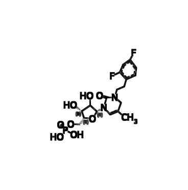 CC1=CN([C@@H]2O[C@H](COP(=O)(O)O)[C@H](O)C2O)C(=O)N(CCc2ccc(F)cc2F)C1